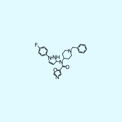 O=C(c1cnco1)N(C1CCN(Cc2ccccc2)CC1)C1C=CN(c2ccc(F)cc2)N1